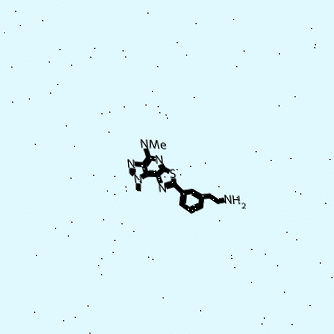 CNc1nc2sc(-c3cccc(CCN)c3)nc2c2c1ncn2C